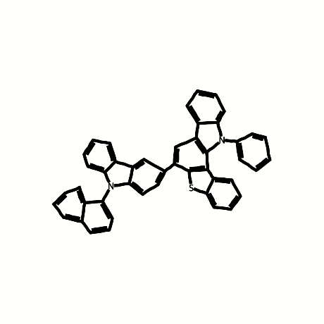 c1ccc(-n2c3ccccc3c3cc(-c4ccc5c(c4)c4ccccc4n5-c4cccc5ccccc45)c4sc5ccccc5c4c32)cc1